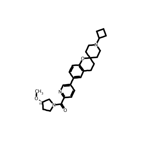 CO[C@H]1CCN(C(=O)c2ccc(-c3ccc4c(c3)CCC3(CCN(C5CCC5)CC3)O4)cn2)C1